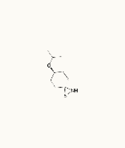 CC(C)O[C@H]1CC[C@]2(CC1)NS2